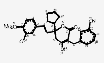 COc1ccc(CCC2(C3CCCC3)CC(O)=C(Cc3cccc(C#N)c3)C(=O)O2)cc1Cl